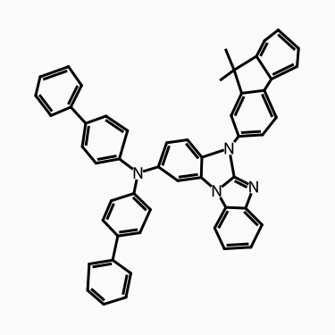 CC1(C)c2ccccc2-c2ccc(-n3c4ccc(N(c5ccc(-c6ccccc6)cc5)c5ccc(-c6ccccc6)cc5)cc4n4c5ccccc5nc34)cc21